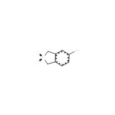 O=S1(=O)Cc2ccc(Br)cc2C1